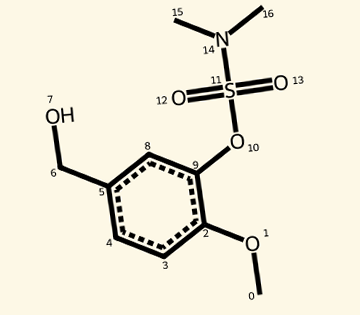 COc1ccc(CO)cc1OS(=O)(=O)N(C)C